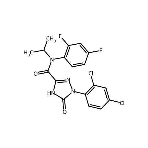 CC(C)N(C(=O)c1nn(-c2ccc(Cl)cc2Cl)c(=O)[nH]1)c1ccc(F)cc1F